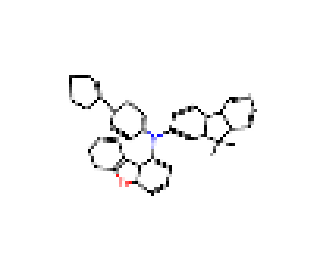 CC1(C)C2C=CC=CC2C2C=CC(N(C3=CCC(C4=CCCCC4)C=C3)C3=CC=CC4OC5=C(C=CCC5)C34)=CC21